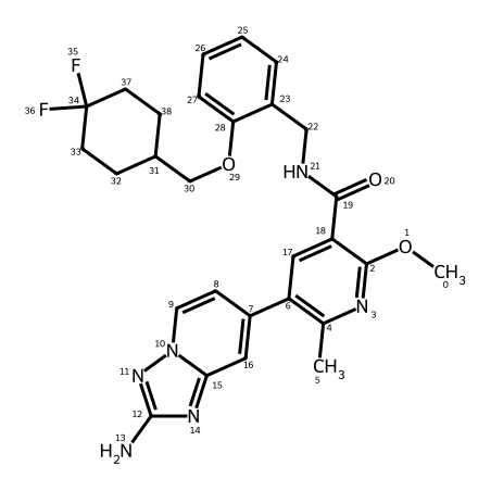 COc1nc(C)c(-c2ccn3nc(N)nc3c2)cc1C(=O)NCc1ccccc1OCC1CCC(F)(F)CC1